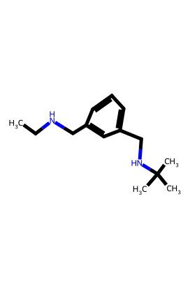 CCNCc1cccc(CNC(C)(C)C)c1